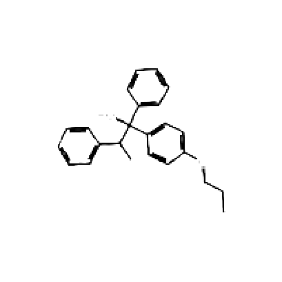 CCCOc1ccc(C(O)(c2ccccc2)C(C)c2ccccc2)cc1